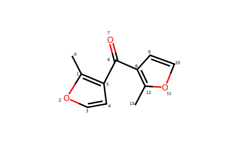 Cc1occc1C(=O)c1ccoc1C